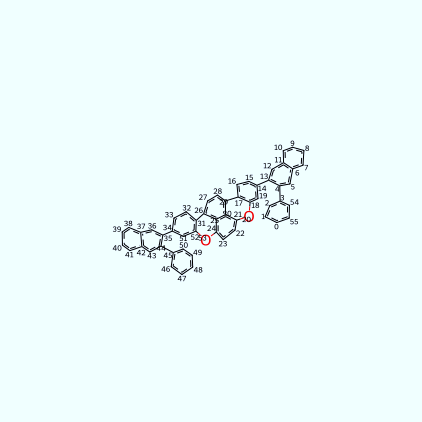 c1ccc(-c2cc3ccccc3cc2-c2ccc3c(c2)Oc2ccc4c5c(ccc-3c25)-c2ccc(-c3cc5ccccc5cc3-c3ccccc3)cc2O4)cc1